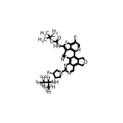 [2H]C([2H])([2H])C([2H])(N[C@H]1CN(c2ncc3c4c(c(-c5ncc(F)c6sc(NC(=O)OC(C)(C)C)c(C#N)c56)c(F)c3n2)COC4)C[C@@H]1F)C([2H])([2H])[2H]